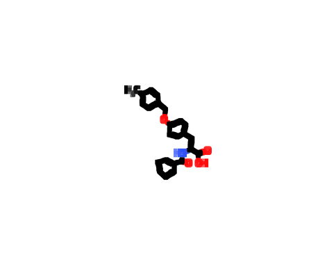 Cc1ccc(COc2ccc(/C=C(\NC(=O)c3ccccc3)C(=O)O)cc2)cc1